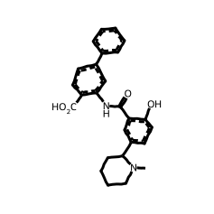 CN1CCCCC1c1ccc(O)c(C(=O)Nc2cc(-c3ccccc3)ccc2C(=O)O)c1